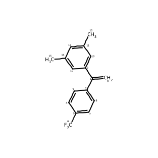 C=C(c1ccc(C(F)(F)F)cc1)c1cc(C)cc(C)c1